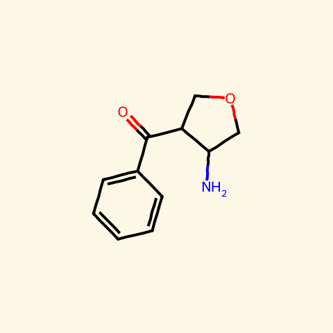 NC1COCC1C(=O)c1ccccc1